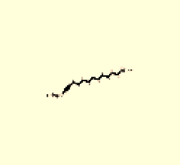 [CH2]CCCCCCC#CCCCCCCCCCCCCCCCCCCC[CH2]